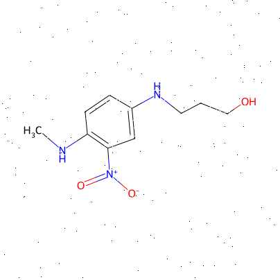 CNc1ccc(NCCCO)cc1[N+](=O)[O-]